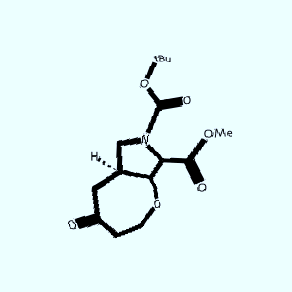 COC(=O)C1C2OCCC(=O)C[C@H]2CN1C(=O)OC(C)(C)C